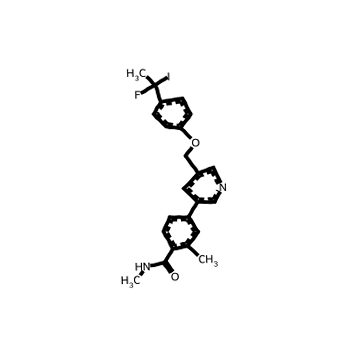 CNC(=O)c1ccc(-c2cncc(COc3ccc(C(C)(F)I)cc3)c2)cc1C